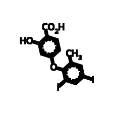 Cc1cc(I)cc(I)c1Oc1ccc(C(=O)O)c(O)c1